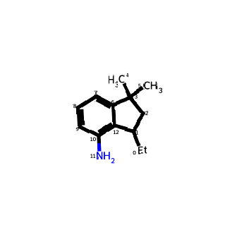 CCC1CC(C)(C)c2cccc(N)c21